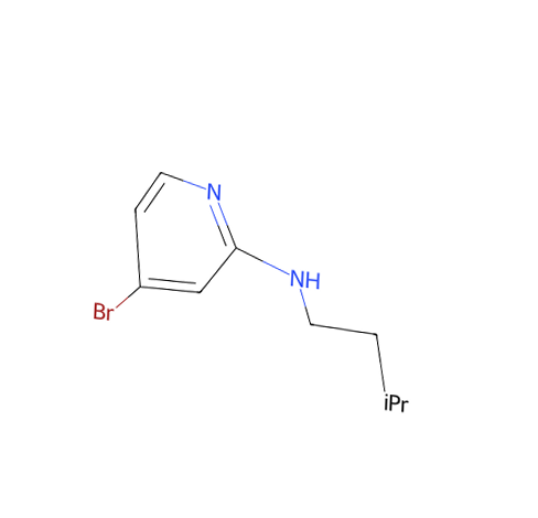 CC(C)CCNc1cc(Br)ccn1